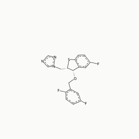 Fc1ccc(F)c(CO[C@H]2c3cc(F)ccc3S[C@H]2Cn2cncn2)c1